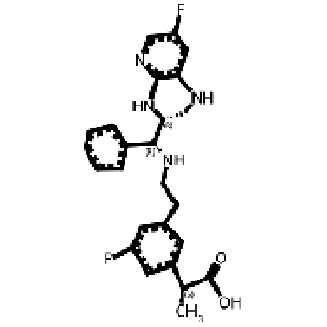 C[C@H](C(=O)O)c1cc(F)cc(CCN[C@H](c2ccccc2)[C@H]2CNc3cc(F)cnc3N2)c1